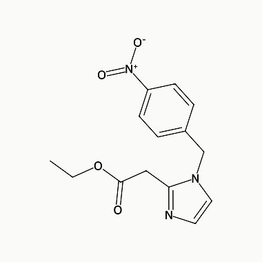 CCOC(=O)Cc1nccn1Cc1ccc([N+](=O)[O-])cc1